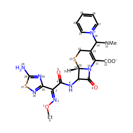 CCON=C(C(=O)NC1C(=O)N2C(C(=O)[O-])=C(C(NC)[n+]3ccccc3)CS[C@@H]12)c1nsc(N)n1